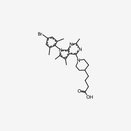 Cc1nc(N2CCC(CCCC(=O)O)CC2)c2c(C)c(C)n(-c3c(C)cc(Br)cc3C)c2n1